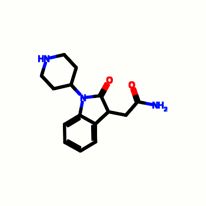 NC(=O)CC1C(=O)N(C2CCNCC2)c2ccccc21